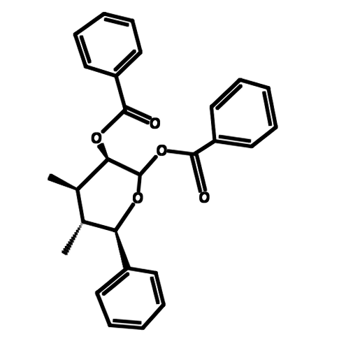 C[C@@H]1[C@@H](C)[C@@H](OC(=O)c2ccccc2)C(OC(=O)c2ccccc2)O[C@H]1c1ccccc1